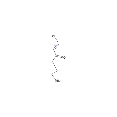 CCCCCCCC(=O)/C=C/Cl